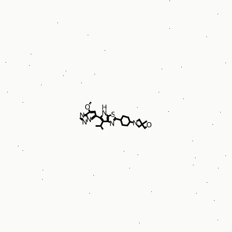 COc1cc(-c2[nH]c3sc(C4CCC(N5CC6(COC6)C5)CC4)nc3c2C(C)C)cn2ncnc12